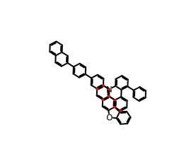 c1ccc(-c2ccccc2-c2c(-c3ccccc3)cccc2N(c2ccc(-c3ccc(-c4ccc5ccccc5c4)cc3)cc2)c2ccc3oc4ccccc4c3c2)cc1